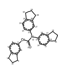 O=C(Oc1ccc2c(c1)CCC2)N(c1ccc2c(c1)CCC2)c1ccc2c(c1)CCC2